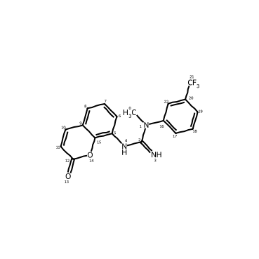 CN(C(=N)Nc1cccc2ccc(=O)oc12)c1cccc(C(F)(F)F)c1